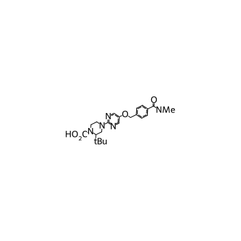 CNC(=O)c1ccc(COc2cnc(N3CCN(C(=O)O)C(C(C)(C)C)C3)nc2)cc1